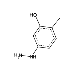 Cc1ccc(NN)cc1O